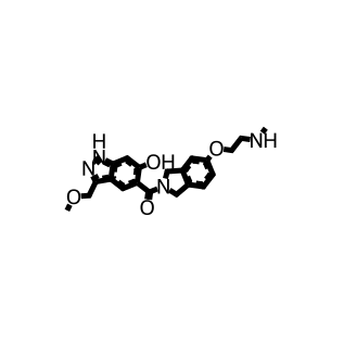 CNCCOc1ccc2c(c1)CN(C(=O)c1cc3c(COC)n[nH]c3cc1O)C2